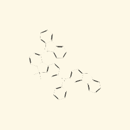 CC1(C)c2cc(N(c3ccccc3)c3ccc4sc5ccccc5c4c3)ccc2C2C(n3c4ccccc4c4ccccc43)=CC=CC21